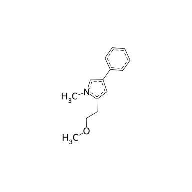 COCCc1cc(-c2ccccc2)cn1C